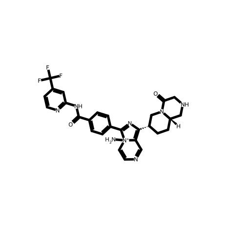 N[N+]12C=CN=CC1=C([C@H]1CC[C@H]3CNCC(=O)N3C1)N=C2c1ccc(C(=O)Nc2cc(C(F)(F)F)ccn2)cc1